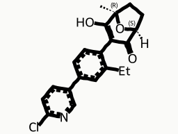 CCc1cc(-c2ccc(Cl)nc2)ccc1C1=C(O)[C@@]2(C)CC[C@H](O2)C1=O